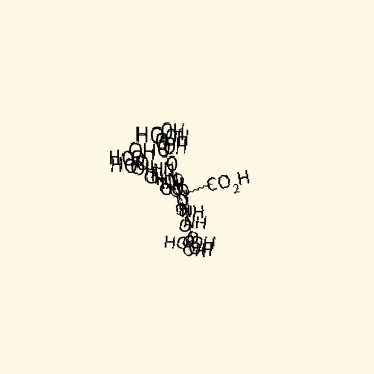 O=C(O)CCCCCCCCCCC(=O)NC(COCCC(=O)NCCCNC(=O)CCCCO[C@@H]1OC(CO)[C@@H](O)C(O)C1O)(COCCC(=O)NCCCNC(=O)CCCCO[C@@H]1OC(CO)[C@@H](O)C(O)C1O)COCCC(=O)NCCCNC(=O)CCCCO[C@@H]1OC(CO)[C@@H](O)C(O)C1O